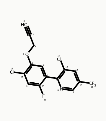 C#CCOc1cc(-c2ncc(C(F)(F)F)cc2Cl)c(F)cc1Cl